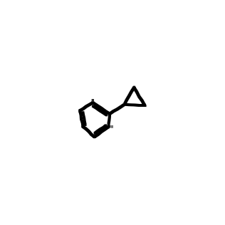 [c]1ccc[c]c1C1CC1